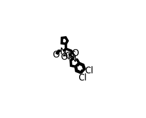 O=CN(O)C(CS(=O)(=O)N1CCc2cc(Cl)c(Cl)cc2C1)C1CCCC1